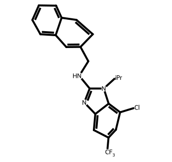 CC(C)n1c(NCc2ccc3ccccc3c2)nc2cc(C(F)(F)F)cc(Cl)c21